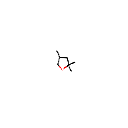 [CH2]C1COC(C)(C)C1